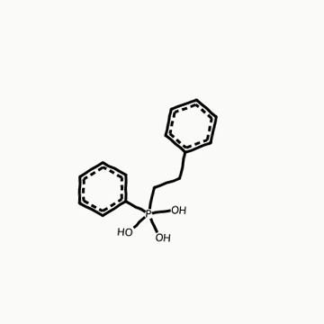 OP(O)(O)(CCc1ccccc1)c1ccccc1